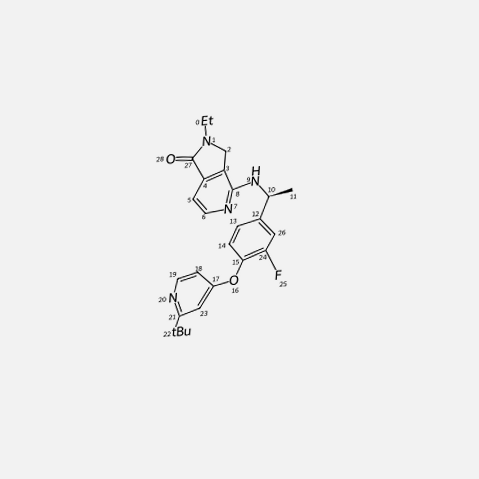 CCN1Cc2c(ccnc2N[C@@H](C)c2ccc(Oc3ccnc(C(C)(C)C)c3)c(F)c2)C1=O